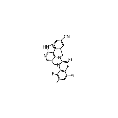 CC/C=C1/N(c2c(F)c(C)cc(CC)c2F)Cc2cnc3[nH]ccc3c2N1Cc1cccc(C#N)c1